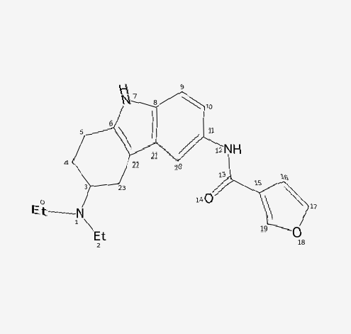 CCN(CC)C1CCc2[nH]c3ccc(NC(=O)c4ccoc4)cc3c2C1